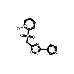 O=S(=O)(Cc1nc(-c2ccsc2)no1)c1cccc[n+]1[O-]